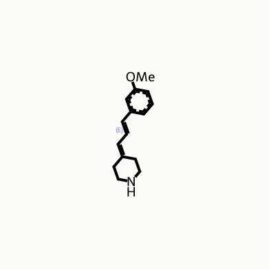 COc1cccc(/C=C/C=C2CCNCC2)c1